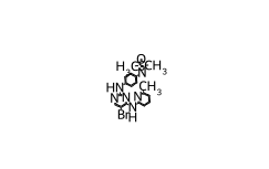 Cc1cccc(Nc2nc(Nc3ccc(N=S(C)(C)=O)cc3)ncc2Br)n1